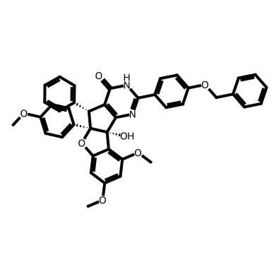 COc1ccc([C@@]23Oc4cc(OC)cc(OC)c4[C@]2(O)c2nc(-c4ccc(OCc5ccccc5)cc4)[nH]c(=O)c2[C@H]3c2ccccc2)cc1